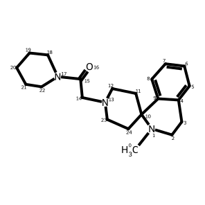 CN1CCc2ccccc2C12CCN(CC(=O)N1CCCCC1)CC2